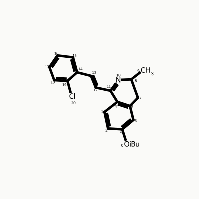 CC(C)COc1ccc2c(c1)CC(C)N=C2C=Cc1ccccc1Cl